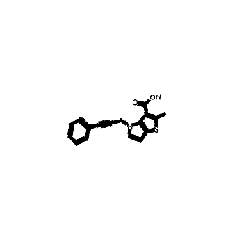 Cc1sc2ccn(CC#Cc3ccccc3)c2c1C(=O)O